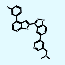 CN(C)Cc1cncc(-c2ccc3[nH]nc(-c4cc5c(-c6cccc(F)c6)ccnc5[nH]4)c3c2)c1